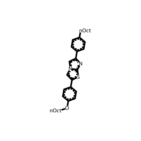 CCCCCCCCOc1ccc(-c2cn3cc(-c4ccc(CCCCCCCC)cc4)nc3s2)cc1